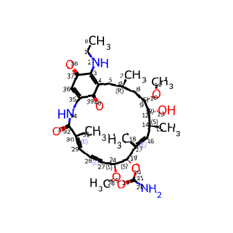 CCNC1=C2C[C@@H](C)C[C@H](OC)[C@H](O)[C@@H](C)/C=C(\C)[C@H](OC(N)=O)[C@@H](OC)/C=C\C=C(/C)C(=O)NC(=CC1=O)C2=O